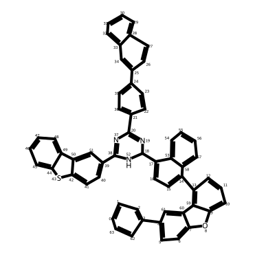 c1ccc(-c2ccc3oc4cccc(-c5ccc(C6N=C(c7ccc(-c8ccc9ccccc9c8)cc7)N=C(c7ccc8sc9ccccc9c8c7)N6)c6ccccc56)c4c3c2)cc1